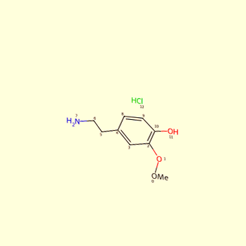 COOc1cc(CCN)ccc1O.Cl